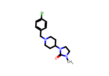 CN1CCN(C2CCN(Cc3ccc(Br)cc3)CC2)C1=O